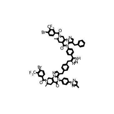 Cc1cnn(-c2ccc(-n3c(=O)c4c(n5ncc(Cc6ccc(Cc7nn[nH]c7-c7ccc(-n8c(=O)c9c(n%10ncc(Cc%11ccccc%11)c8%10)CN(C(=O)c8ccc(Br)c(C(F)(F)F)c8)[C@H](C)C9)cc7)cc6)c35)CN(C(=O)c3ccc(Br)c(C(F)(F)F)c3)[C@H](C)C4)cc2)n1